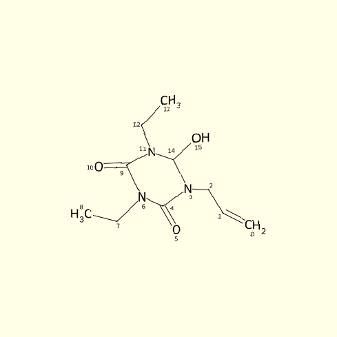 C=CCN1C(=O)N(CC)C(=O)N(CC)C1O